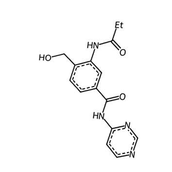 CCC(=O)Nc1cc(C(=O)Nc2ccncn2)ccc1CO